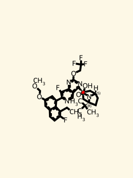 CCc1c(F)ccc2cc(OCOC)cc(-c3ncc4c(N5C[C@@H]6CC[C@@](C(C)(C)C)(C5)N6C(=O)O)nc(OCC(F)(F)F)nc4c3F)c12